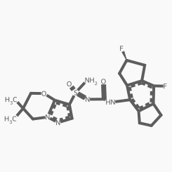 CC1(C)COc2c(S(N)(=O)=NC(=O)Nc3c4c(c(F)c5c3C[C@@H](F)C5)CCC4)cnn2C1